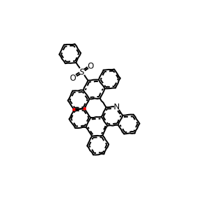 O=S(=O)(c1ccccc1)c1c2ccccc2c(-c2nc3ccccc3c3c4ccccc4c4ccccc4c23)c2ccccc12